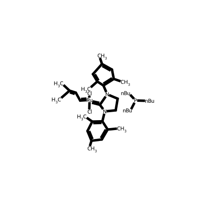 CC(C)=C[CH]=[Ru]([Cl])([Cl])=[C]1N(c2c(C)cc(C)cc2C)CCN1c1c(C)cc(C)cc1C.CCCCP(CCCC)CCCC